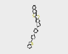 c1ccc2cc3c(cc2c1)sc1c2cc4cc(-c5ccc(-c6ccc(-c7cc8ccccc8s7)cc6)cc5)ccc4cc2sc31